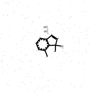 Cc1cccc2c1[C](C)([Zr])C=C2.Cl.Cl